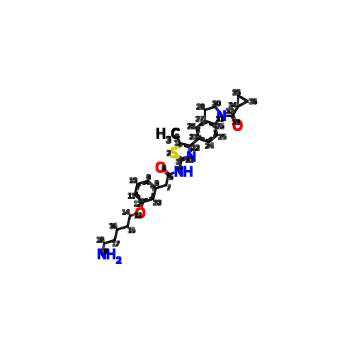 Cc1sc(NC(=O)Cc2cccc(OCCCCCN)c2)nc1-c1ccc2c(c1)CCN2C(=O)C1CC1